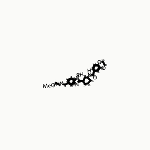 COCCNCc1ccc2c(c1)nc(C1CCCC(NC(=O)c3ccc4c(c3)OCCO4)C1)n2C